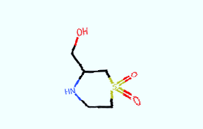 O=S1(=O)CCNC(CO)C1